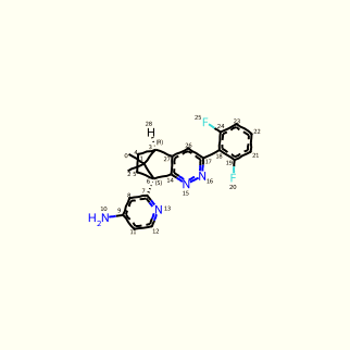 CC1(C)[C@H]2CC[C@]1(c1cc(N)ccn1)c1nnc(-c3c(F)cccc3F)cc12